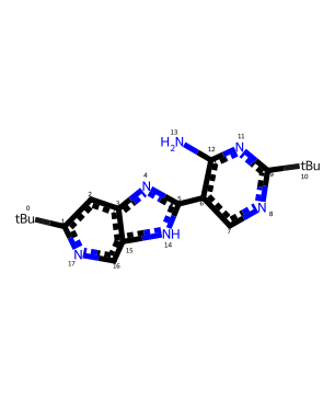 CC(C)(C)c1cc2nc(-c3cnc(C(C)(C)C)nc3N)[nH]c2cn1